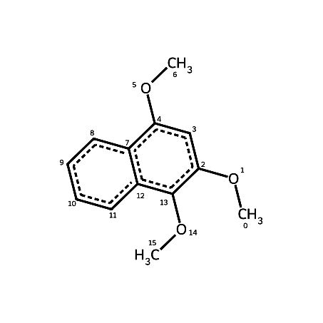 COc1cc(OC)c2ccccc2c1OC